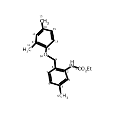 CCOC(=O)Nc1cc(C)ccc1COc1ccc(C)cc1C